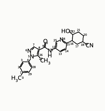 Cc1ccc(-n2ncc(C(=O)Nc3ccc(C4CC(C#N)CCC4O)nc3)c2C)cc1